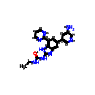 CCNC(=O)Nc1nc2cc(-c3cncc(N)c3)cc(-c3ncccn3)c2[nH]1